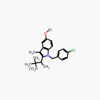 CCOc1ccc2c(c1)c(C)c(C(C)C(C)(C)C(=O)O)n2Cc1ccc(Cl)cc1